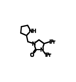 CC(C)C1CN(CC2CCCN2)C(=O)N1C(C)C